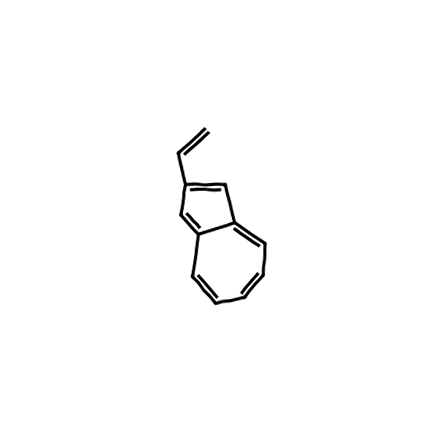 C=Cc1cc2cccccc-2c1